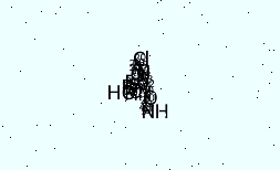 O=C(CC1CCNCC1)NCC1CCN(c2nc3cc(Cl)ccc3o2)CC1.O=C(O)C(F)(F)F